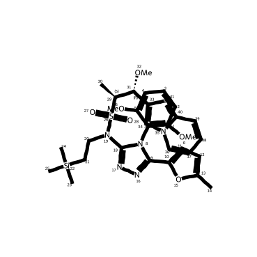 COc1cccc(OC)c1-n1c(-c2ccc(C)o2)nnc1N(CC[Si](C)(C)C)S(=O)(=O)[C@@H](C)[C@H](OC)c1cn2ccccc2n1